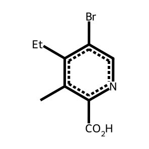 CCc1c(Br)cnc(C(=O)O)c1C